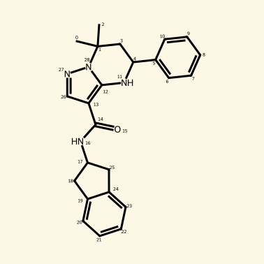 CC1(C)CC(c2ccccc2)Nc2c(C(=O)NC3Cc4ccccc4C3)cnn21